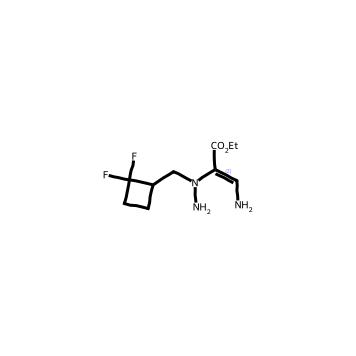 CCOC(=O)/C(=C/N)N(N)CC1CCC1(F)F